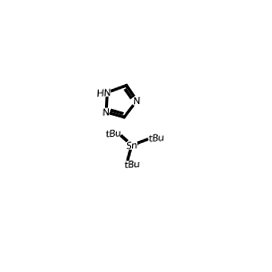 C[C](C)(C)[Sn]([C](C)(C)C)[C](C)(C)C.c1nc[nH]n1